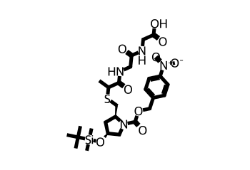 CC(SC[C@@H]1C[C@H](O[Si](C)(C)C(C)(C)C)CN1C(=O)OCc1ccc([N+](=O)[O-])cc1)C(=O)NCC(=O)NCC(=O)O